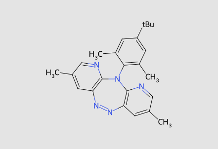 Cc1cnc2c(c1)N=Nc1cc(C)cnc1N2c1c(C)cc(C(C)(C)C)cc1C